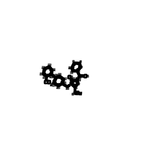 CCCCc1cn(C(=O)c2ccccc2)c(=O)n1Cc1ccc(-c2ccccc2C(=O)O)cc1